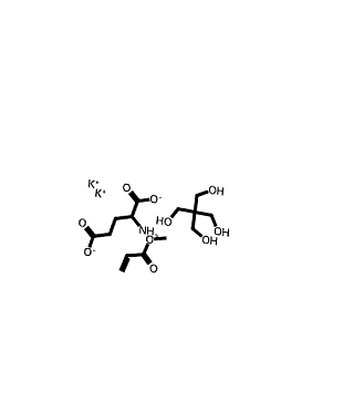 C=CC(=O)OC.NC(CCC(=O)[O-])C(=O)[O-].OCC(CO)(CO)CO.[K+].[K+]